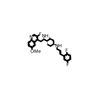 COc1ccc2ncc(F)c(C[C@H](N)[C@H]3CC[C@H](NC/C=C/c4cc(F)ccc4F)CC3)c2c1